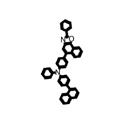 c1ccc(-c2nc3cc(-c4ccc(N(c5ccccc5)c5ccc(-c6cccc7ccccc67)cc5)cc4)c4ccccc4c3o2)cc1